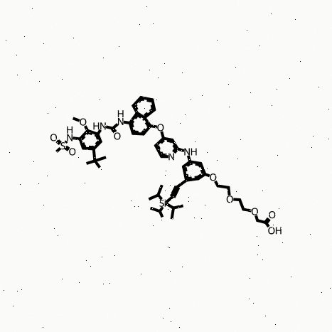 COc1c(NC(=O)Nc2ccc(Oc3ccnc(Nc4cc(C#C[Si](C(C)C)(C(C)C)C(C)C)cc(OCCOCCOCC(=O)O)c4)c3)c3ccccc23)cc(C(C)(C)C)cc1NS(C)(=O)=O